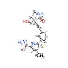 Cc1cc(C(N)=O)nc(-c2cccc(C#C[C@@]3(CO)CCNC3=O)c2)c1F